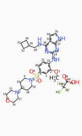 COc1cc(S(=O)(=O)N2CCC(N3CCOCC3)CC2)ccc1Nc1nc(NCC2CCC2)c2cc[nH]c2n1.O=C(O)C(F)(F)F